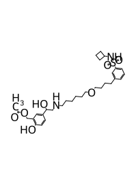 CC(=O)OCc1cc([C@@H](O)CNCCCCCCOCCCCc2cccc(S(=O)(=O)NC3CCC3)c2)ccc1O